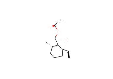 C=C[C@@]1(C)CCC[C@@H](C)[C@@]1(O)COC(=O)CCCC